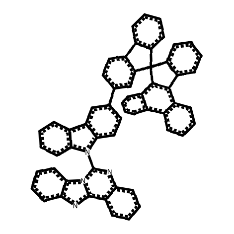 c1ccc2c(c1)-c1ccc(-c3ccc4c(c3)c3ccccc3n4-c3nc4ccccc4c4nc5ccccc5n34)cc1C21c2ccccc2-c2c1c1ccccc1c1ccccc21